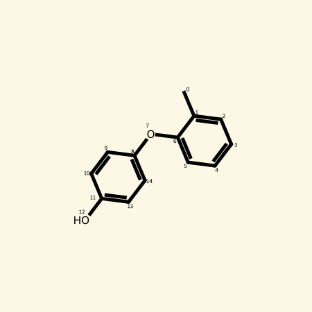 Cc1ccccc1Oc1ccc(O)cc1